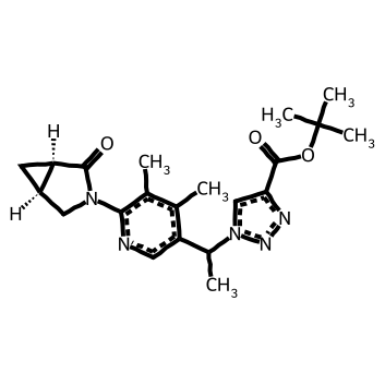 Cc1c(C(C)n2cc(C(=O)OC(C)(C)C)nn2)cnc(N2C[C@H]3C[C@H]3C2=O)c1C